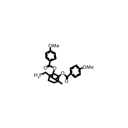 COc1ccc(C(=O)OC2C(OC(=O)c3ccc(OC)cc3)C3(CP)CCC2(C)CC3)cc1